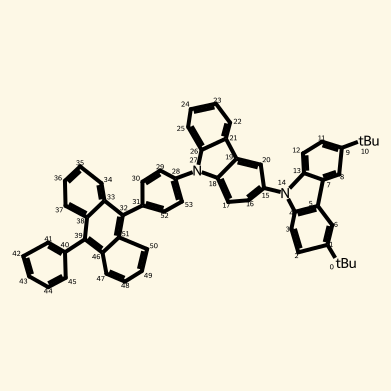 CC(C)(C)c1ccc2c(c1)c1cc(C(C)(C)C)ccc1n2-c1ccc2c(c1)c1ccccc1n2-c1ccc(-c2c3ccccc3c(-c3ccccc3)c3ccccc23)cc1